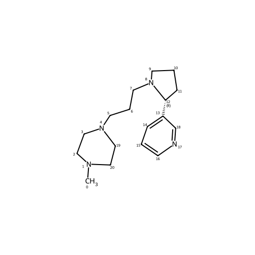 CN1CCN(CCCN2CCC[C@@H]2c2cccnc2)CC1